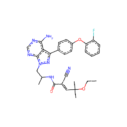 CCOC(C)(C)C=C(C#N)C(=O)NC(C)Cn1nc(-c2ccc(Oc3ccccc3F)cc2)c2c(N)ncnc21